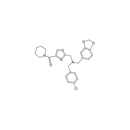 O=C(c1csc(CN(Cc2ccc(Cl)cc2)Cc2ccc3c(c2)OCO3)n1)N1CCCCC1